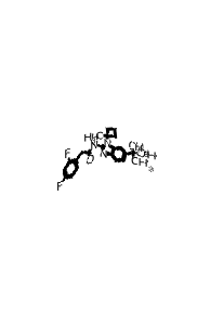 CC(C)(O)c1ccc2nc(NC(=O)Cc3ccc(F)cc3F)n(C3(C)CCC3)c2c1